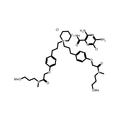 COCCCN(C)C(=O)COc1ccc(CCC[N+]2(CCCc3ccc(OCC(=O)N(C)CCCOC)cc3)CCC[C@H](NC(=O)c3nc(Cl)c(N)nc3N)C2)cc1.[Cl-]